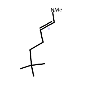 CN/C=C/CCC(C)(C)C